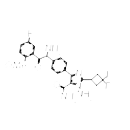 COc1ccc(F)cc1C(=O)C(N)c1ccc(-c2nc(C3CC(F)(F)C3)n(N)c2C(N)=O)cc1